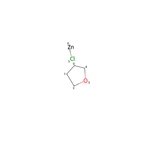 C1CCOC1.[Cl][Zn]